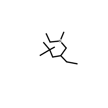 CCC(CN(C)CC)CC(C)(C)C